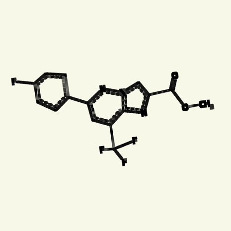 COC(=O)c1cn2nc(-c3ccc(F)cc3)cc(C(F)(F)F)c2n1